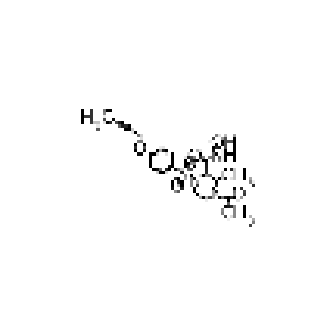 CC#CCOc1ccc(S(=O)(=O)N2CCN(C(C)=O)C(C)C2C(=O)NO)cc1